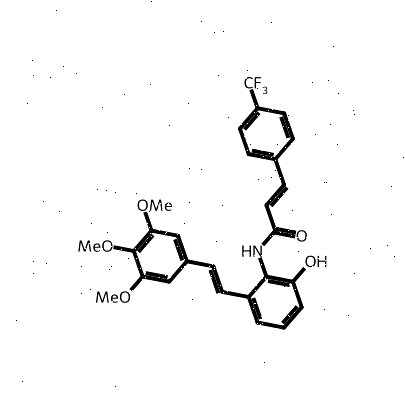 COc1cc(/C=C/c2cccc(O)c2NC(=O)/C=C/c2ccc(C(F)(F)F)cc2)cc(OC)c1OC